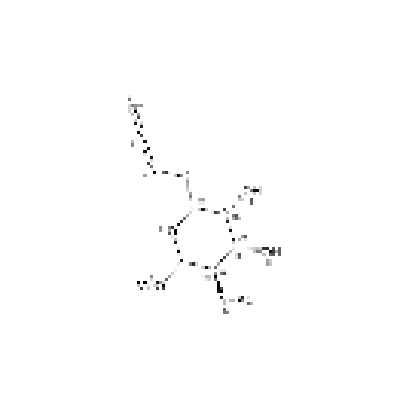 COC1O[C@H](CN=[N+]=[N-])[C@H](O)[C@H](O)[C@H]1NC(C)=O